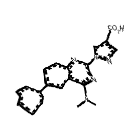 CN(C)c1nc(-n2cc(C(=O)O)cn2)nc2ccc(-c3ccccc3)cc12